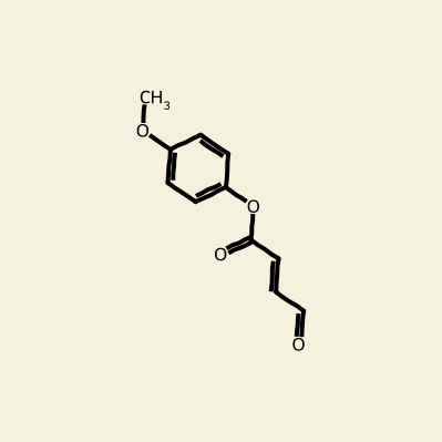 COc1ccc(OC(=O)C=CC=O)cc1